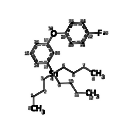 CCC[CH2][Sn]([CH2]CCC)([CH2]CCC)[c]1cccc(Oc2ccc(F)cc2)c1